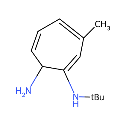 CC1=CC=CC(N)C(NC(C)(C)C)=C1